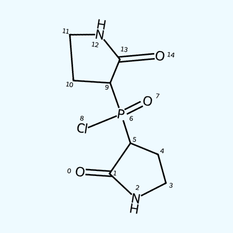 O=C1NCCC1P(=O)(Cl)C1CCNC1=O